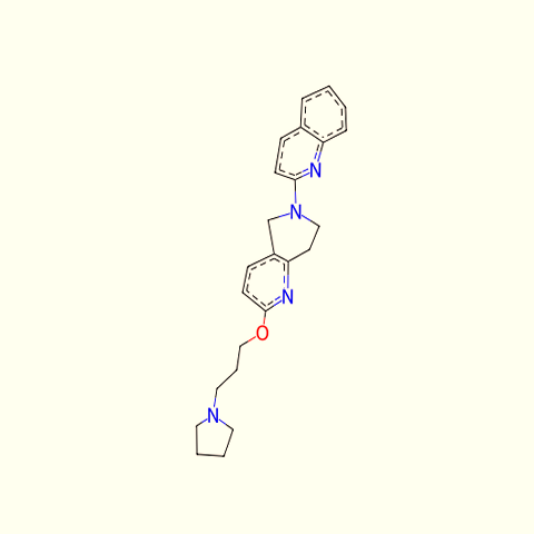 c1ccc2nc(N3CCc4nc(OCCCN5CCCC5)ccc4C3)ccc2c1